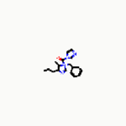 CCCC1=C(C)[N+](Cc2ccccc2)(C(=O)n2ccnc2)C=N1